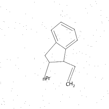 C=CC1c2ccccc2CC1CCC